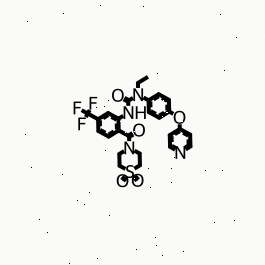 CCN(C(=O)Nc1cc(C(F)(F)F)ccc1C(=O)N1CCS(=O)(=O)CC1)c1ccc(Oc2ccncc2)cc1